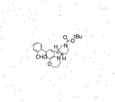 CC(C)(C)OC(=O)N1CC[C@H]2[C@@H](C1)c1cc(-c3ccccc3C=O)cc3c1N2CCCO3